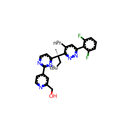 CCCc1cc(-c2c(F)cccc2F)nnc1[C@@](C)(CC(C)(C)C)c1ccnc(-c2ccnc(CO)c2)n1